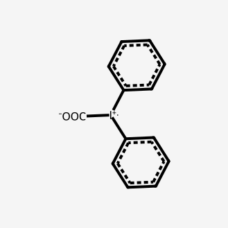 O=C([O-])[I+](c1ccccc1)c1ccccc1